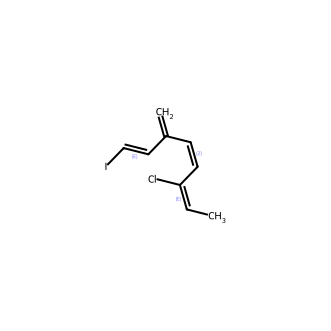 C=C(/C=C\C(Cl)=C/C)/C=C/I